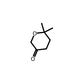 CC1(C)CCC(=O)CO1